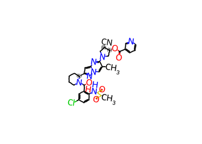 Cc1cn2nc([C@@H]3CCCCN3C(O)c3cc(Cl)ccc3NS(C)(=O)=O)cc2nc1N1C[C@H](C#N)[C@H](OC(=O)c2cccnc2)C1